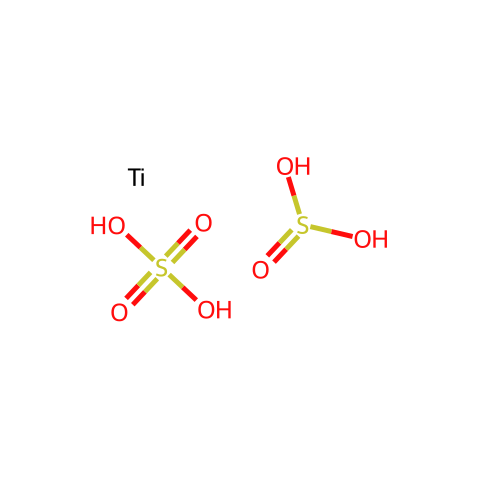 O=S(=O)(O)O.O=S(O)O.[Ti]